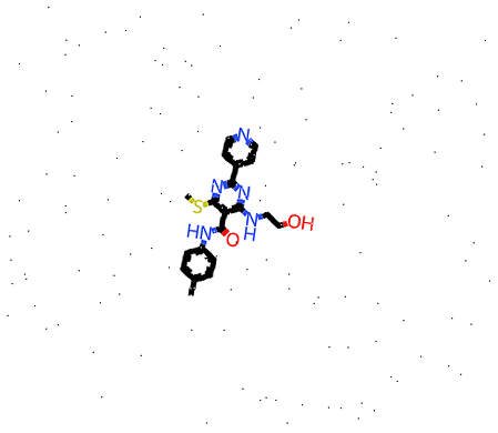 CSc1nc(-c2ccncc2)nc(NCCO)c1C(=O)Nc1ccc(C)cc1